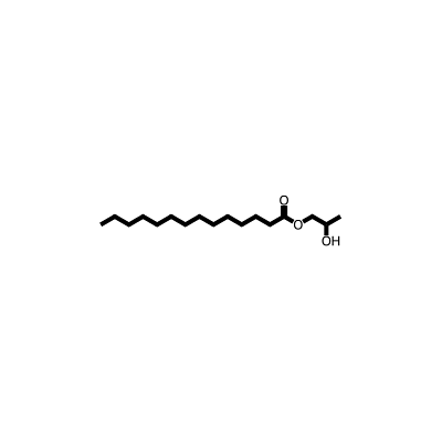 CCCCCCCCCCCCCC(=O)OCC(C)O